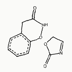 O=C1Cc2ccccc2ON1.O=C1N=CCO1